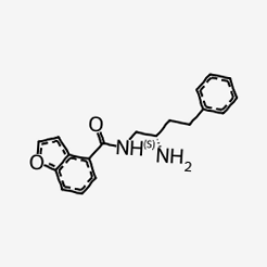 N[C@@H](CCc1ccccc1)CNC(=O)c1cccc2occc12